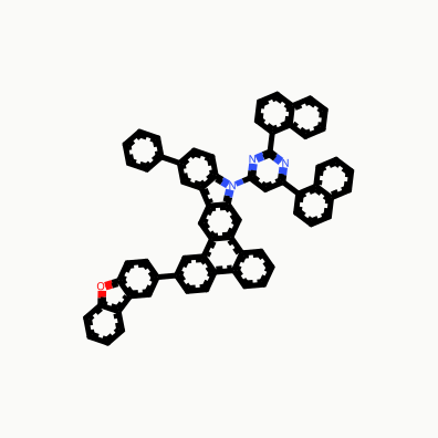 c1ccc(-c2ccc3c(c2)c2cc4c5cc(-c6ccc7oc8ccccc8c7c6)ccc5c5ccccc5c4cc2n3-c2cc(-c3cccc4ccccc34)nc(-c3cccc4ccccc34)n2)cc1